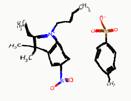 CCCC[N+]1=C(C)C(C)(C)c2cc([N+](=O)[O-])ccc21.Cc1ccc(S(=O)(=O)[O-])cc1